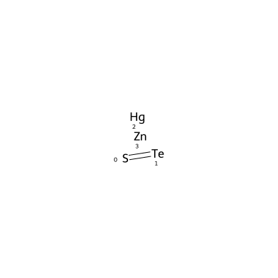 S=[Te].[Hg].[Zn]